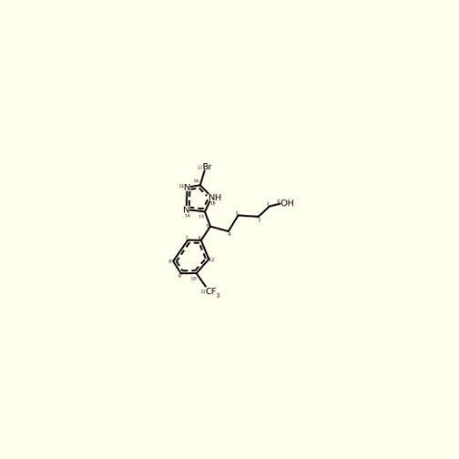 OCCCCC(c1cccc(C(F)(F)F)c1)c1nnc(Br)[nH]1